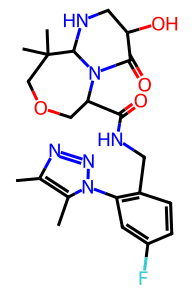 Cc1nnn(-c2cc(F)ccc2CNC(=O)C2COCC(C)(C)C3NCC(O)C(=O)N23)c1C